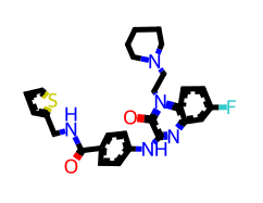 O=C(NCc1cccs1)c1ccc(Nc2nc3cc(F)ccc3n(CCN3CCCCC3)c2=O)cc1